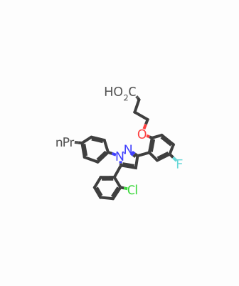 CCCc1ccc(-n2nc(-c3cc(F)ccc3OCCCC(=O)O)cc2-c2ccccc2Cl)cc1